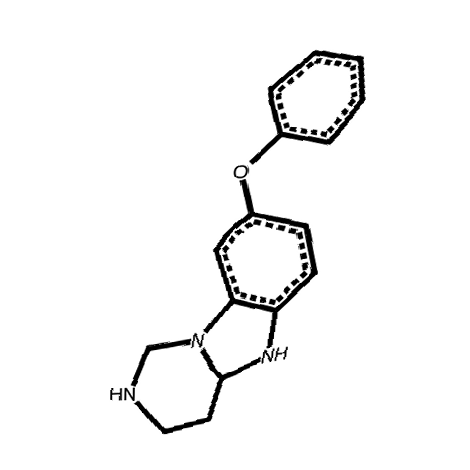 c1ccc(Oc2ccc3c(c2)N2CNCCC2N3)cc1